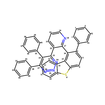 c1ccc(-c2ccc3sc4ccccc4c3c2-c2ncccc2-c2nnnc(-c3ccccc3)c2-c2ccccc2)cc1